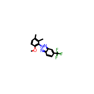 COc1ccc(C)c(C)c1-n1nc2ccc(C(F)(F)F)cc2n1